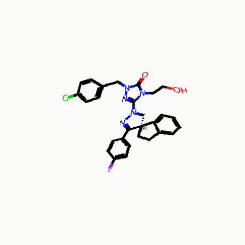 O=c1n(Cc2ccc(Cl)cc2)nc(N2C[C@]3(CCc4ccccc43)C(c3ccc(I)cc3)=N2)n1CCO